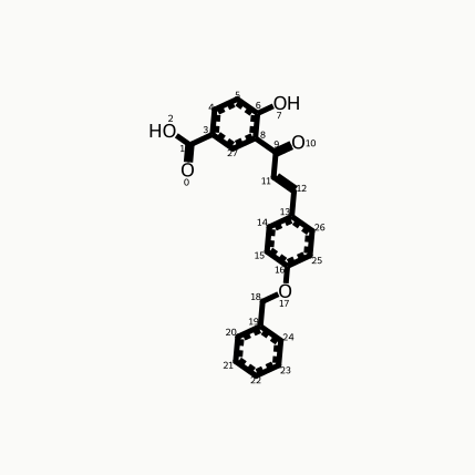 O=C(O)c1ccc(O)c(C(=O)C=Cc2ccc(OCc3ccccc3)cc2)c1